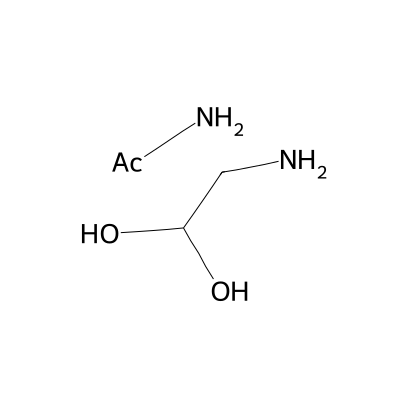 CC(N)=O.NCC(O)O